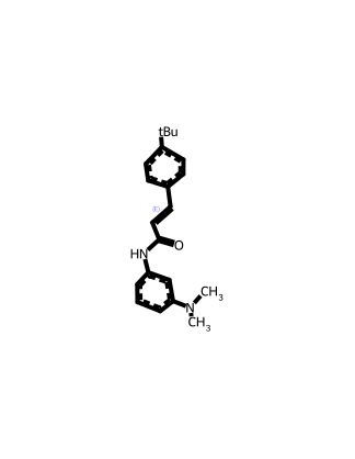 CN(C)c1cccc(NC(=O)/C=C/c2ccc(C(C)(C)C)cc2)c1